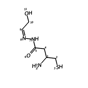 NC(CS)CC(=O)N/N=C\CO